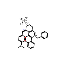 CN(C)c1ccc(/C=C2/CCCc3c[n+](Cc4ccccc4)c4c(ccc5ccccc54)c32)cc1.[O-][Cl+3]([O-])([O-])[O-]